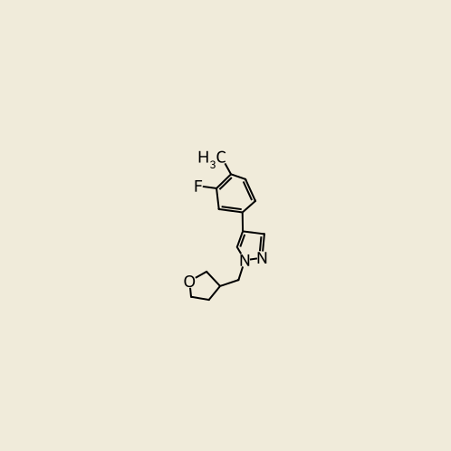 Cc1ccc(-c2cnn(CC3CCOC3)c2)cc1F